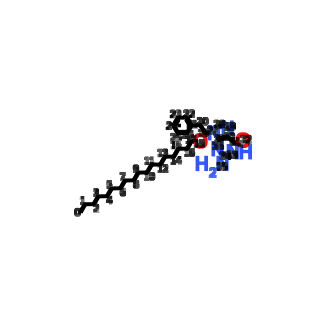 CCCCCCCCCCCCCCCCCCOC(Cc1cc[c]cc1)n1cnc2c(=O)[nH]c(N)nc21